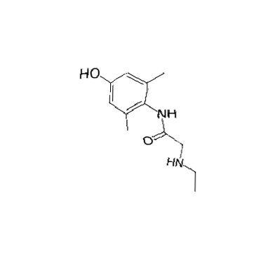 CCNCC(=O)Nc1c(C)cc(O)cc1C